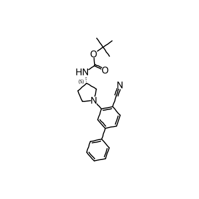 CC(C)(C)OC(=O)N[C@H]1CCN(c2cc(-c3ccccc3)ccc2C#N)C1